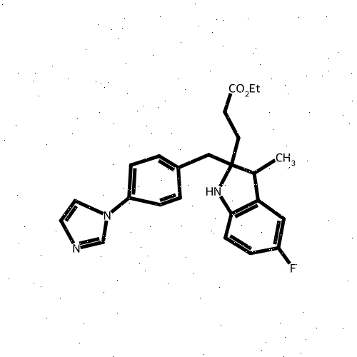 CCOC(=O)CCC1(Cc2ccc(-n3ccnc3)cc2)Nc2ccc(F)cc2C1C